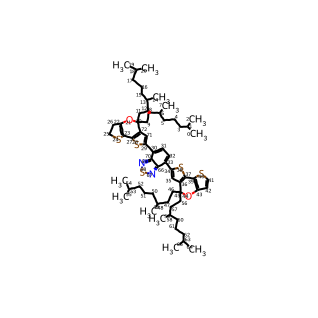 CC(C)CCCC(C)CCC1(CCC(C)CCCC(C)C)OC2=C(SCC2)c2sc(-c3ccc(-c4cc5c(s4)-c4sccc4OC5(CCC(C)CCCC(C)C)CCC(C)CCCC(C)C)c4nsnc34)cc21